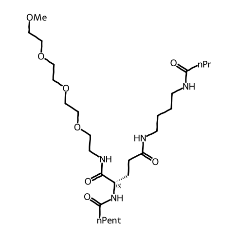 CCCCCC(=O)N[C@@H](CCC(=O)NCCCCNC(=O)CCC)C(=O)NCCOCCOCCOCCOC